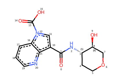 O=C(N[C@H]1CCOC[C@@H]1O)c1cn(C(=O)O)c2cccnc12